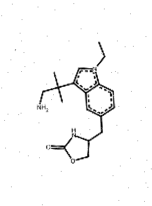 CCn1cc(C(C)(C)CN)c2cc(CC3COC(=O)N3)ccc21